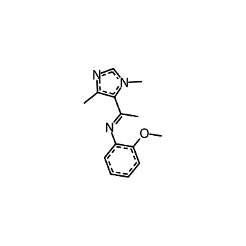 COc1ccccc1N=C(C)c1c(C)ncn1C